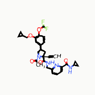 C#C[C@]1(C(=O)NCc2cccc(C(=O)NC3CC3)n2)CC(c2ccc(OC(F)F)c(OCC3CC3)c2)CN1C(C)=O